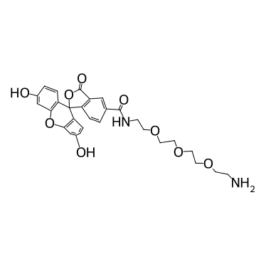 NCCOCCOCCOCCNC(=O)c1ccc2c(c1)C(=O)OC21c2ccc(O)cc2Oc2cc(O)ccc21